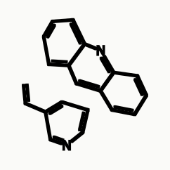 C=Cc1cccnc1.c1ccc2nc3ccccc3cc2c1